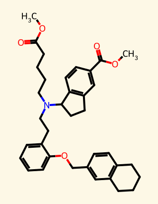 COC(=O)CCCCN(CCc1ccccc1OCc1ccc2c(c1)CCCC2)C1CCc2cc(C(=O)OC)ccc21